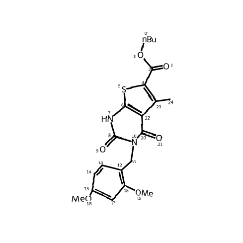 CCCCOC(=O)c1sc2[nH]c(=O)n(Cc3ccc(OC)cc3OC)c(=O)c2c1C